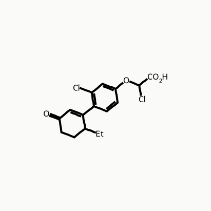 CCC1CCC(=O)C=C1c1ccc(OC(Cl)C(=O)O)cc1Cl